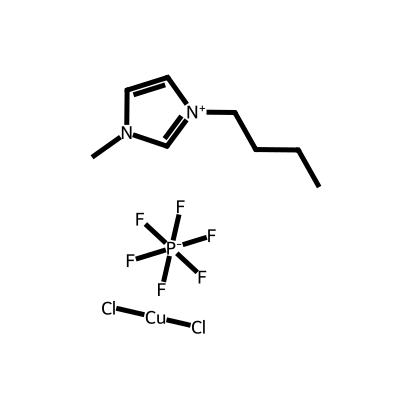 CCCC[n+]1ccn(C)c1.F[P-](F)(F)(F)(F)F.[Cl][Cu][Cl]